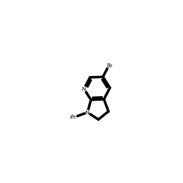 CC(C)N1CCc2cc(Br)cnc21